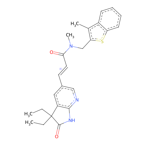 CCC1(CC)C(=O)Nc2ncc(/C=C/C(=O)N(C)Cc3sc4ccccc4c3C)cc21